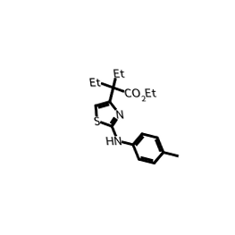 CCOC(=O)C(CC)(CC)c1csc(Nc2ccc(C)cc2)n1